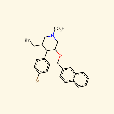 CC(C)CC1CN(C(=O)O)CC(OCc2ccc3ccccc3c2)C1c1ccc(Br)cc1